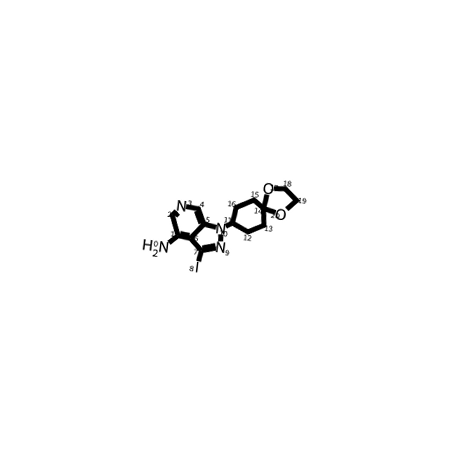 Nc1cncc2c1c(I)nn2C1CCC2(CC1)OCCO2